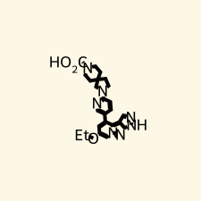 CCOc1cc(-c2ccc(N3CCC4(CCN(C(=O)O)CC4)C3)nc2)c2c3cn[nH]c3nn2c1